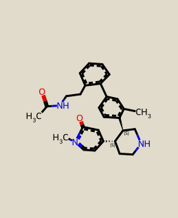 CC(=O)NCCc1ccccc1-c1ccc([C@H]2CNCC[C@@H]2c2ccn(C)c(=O)c2)c(C)c1